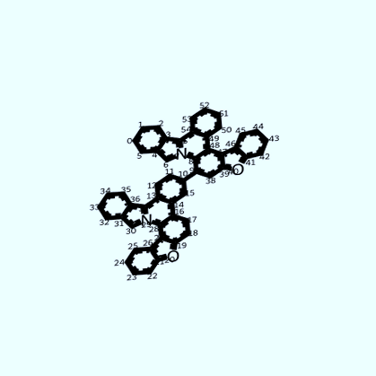 c1ccc2c(c1)cn1c3c(-c4ccc5c(c4)c4ccc6oc7ccccc7c6c4n4cc6ccccc6c54)cc4oc5ccccc5c4c3c3ccccc3c21